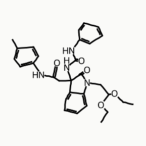 CCOC(CN1C(=O)C(CC(=O)Nc2ccc(C)cc2)(NC(=O)Nc2ccccc2)c2ccccc21)OCC